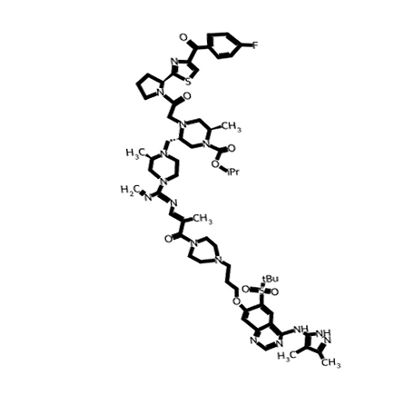 C=N/C(=N\C=C(/C)C(=O)N1CCN(CCCOc2cc3ncnc(Nc4[nH]nc(C)c4C)c3cc2S(=O)(=O)C(C)(C)C)CC1)N1CCN(C[C@H]2CN(C(=O)OC(C)C)[C@H](C)CN2CC(=O)N2CCC[C@H]2c2nc(C(=O)c3ccc(F)cc3)cs2)[C@H](C)C1